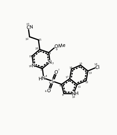 COc1nc(NS(=O)(=O)c2c[nH]c3cc(Cl)ccc23)ncc1CCC#N